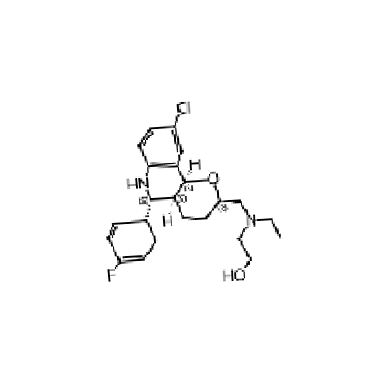 CCN(CCO)C[C@H]1CC[C@@H]2[C@H](O1)c1cc(Cl)ccc1N[C@H]2C1C=CC(F)=CC1